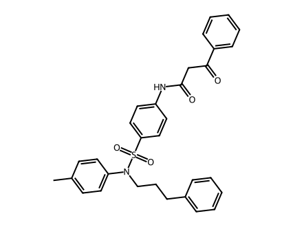 Cc1ccc(N(CCCc2ccccc2)S(=O)(=O)c2ccc(NC(=O)CC(=O)c3ccccc3)cc2)cc1